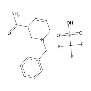 NC(=O)C1C=CCN(Cc2ccccc2)C1.O=S(=O)(O)C(F)(F)F